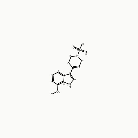 COc1cccc2c(C3=CCN(S(C)(=O)=O)CC3)c[nH]c12